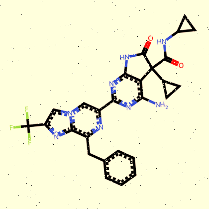 Nc1nc(-c2cn3cc(C(F)(F)F)nc3c(Cc3ccccc3)n2)nc2c1C(C(=O)NC1CC1)(C1CC1)C(=O)N2